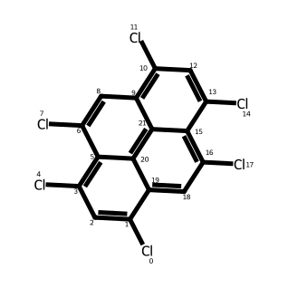 Clc1cc(Cl)c2c(Cl)cc3c(Cl)cc(Cl)c4c(Cl)cc1c2c34